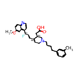 COc1ccc2nccc([C@@H](F)CC[C@@H]3CCN(CCCCc4cccc(C)c4)C[C@@H]3CC(=O)O)c2c1